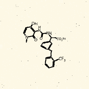 CCOC(=O)CC(NC(=O)Nc1c(O)ccn(C)c1=O)c1cccc(Cc2ccccc2C(F)(F)F)c1